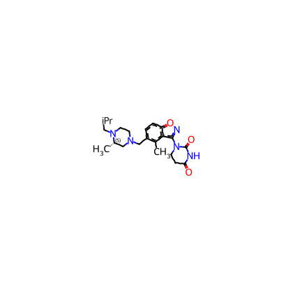 Cc1c(CN2CCN(CC(C)C)[C@@H](C)C2)ccc2onc(N3CCC(=O)NC3=O)c12